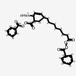 CCCCCCC1C=CC(CCCCCCCC(=O)OOC(=O)c2ccccc2)CC1C(=O)OOC(=O)c1ccccc1